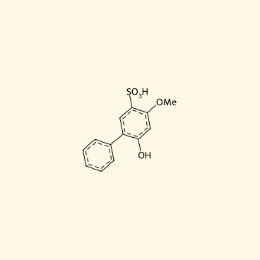 COc1cc(O)c(-c2ccccc2)cc1S(=O)(=O)O